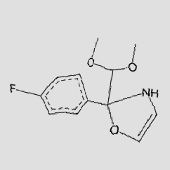 COC(OC)C1(c2ccc(F)cc2)NC=CO1